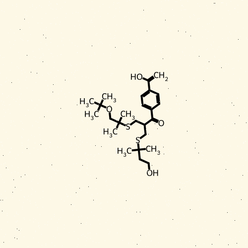 C=C(O)c1ccc(C(=O)C(CSC(C)(C)CCO)CSC(C)(C)COC(C)(C)C)cc1